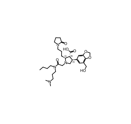 CCCCN(CCCN(C)C)C(=O)CN1C[C@H](c2cc(CO)c3c(c2)OCO3)[C@@H](C(=O)O)[C@@H]1CCCN1CCCC1=O